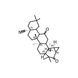 CC1(C)CC[C@]2(C#N)CC[C@]3(C)C(C(=O)CC4[C@@]5(C)[C@H]6C[C@@]6(C#N)C(=O)C(C)(C)[C@@H]5CC[C@]43C)C2C1